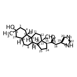 C[C@@]1(O)CC[C@H]2[C@@H](CC[C@@H]3[C@@H]2CC[C@]2(C)[C@@H](C(=O)Cc4cnc[nH]4)CC[C@@H]32)C1